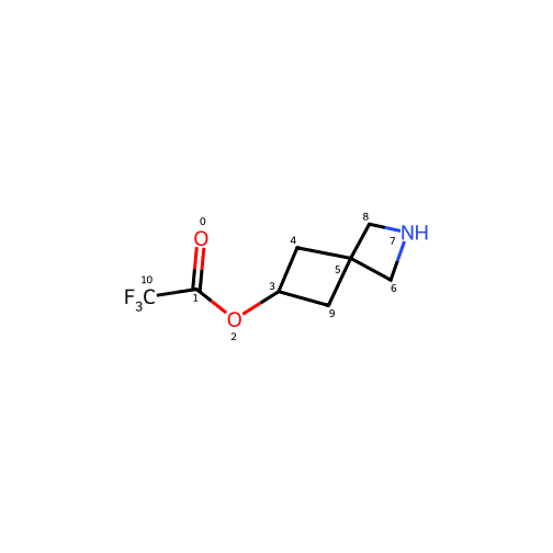 O=C(OC1CC2(CNC2)C1)C(F)(F)F